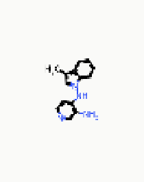 Cc1cn(Nc2ccncc2N)c2ccccc12